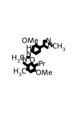 COc1cc(C)c(CN(C)C(=O)Nc2ccc(C3C=NN(C)C3)c(OC)c2)cc1C(C)C